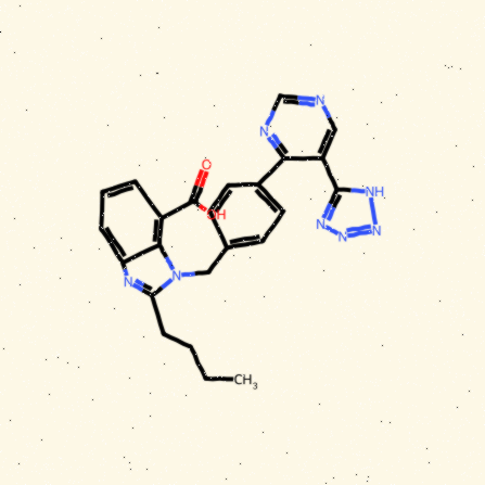 CCCCc1nc2cccc(C(=O)O)c2n1Cc1ccc(-c2ncncc2-c2nnn[nH]2)cc1